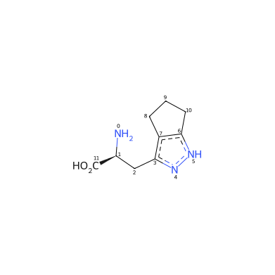 N[C@@H](Cc1n[nH]c2c1CCC2)C(=O)O